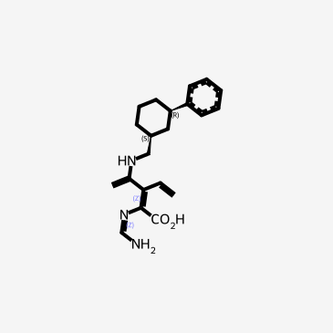 C=C/C(C(=C)NC[C@H]1CCC[C@@H](c2ccccc2)C1)=C(/N=C\N)C(=O)O